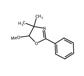 COC1OC(c2ccccc2)=NC1(C)C